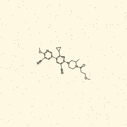 COCCC(=O)N1CCN(c2nc(C3CC3)c(-c3cnc(OC)c(C#N)c3)cc2C#N)CC1C